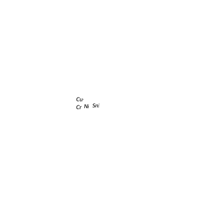 [Cr].[Cu].[Ni].[Sn]